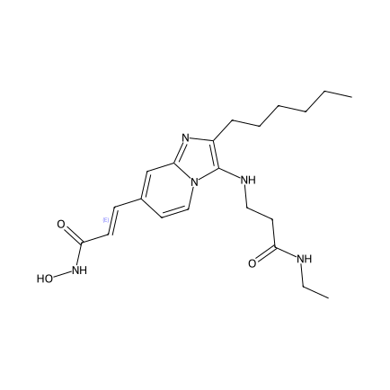 CCCCCCc1nc2cc(/C=C/C(=O)NO)ccn2c1NCCC(=O)NCC